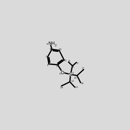 CC(C)[Si](Oc1ccc(N)cc1)(C(C)C)C(C)C